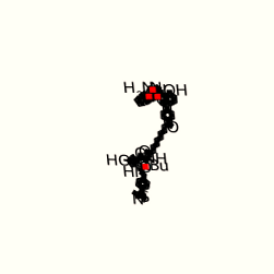 Cc1ncsc1-c1ccc(CNC(=O)[C@@H]2C[C@@H](O)CN2C(=O)[C@@H](NC(=O)CCCCCCCCC(=O)N2CCN(CCOc3cccc(N4C5CCC4CN(c4cc(-c6ccccc6O)nnc4N)C5)c3)CC2)C(C)(C)C)cc1